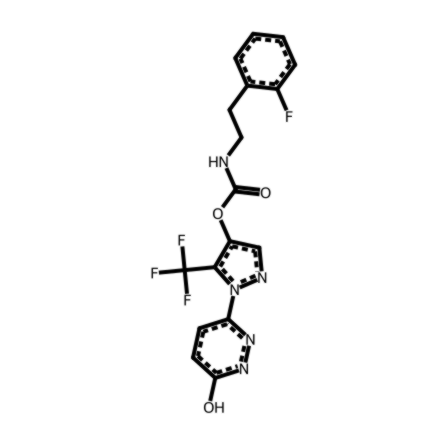 O=C(NCCc1ccccc1F)Oc1cnn(-c2ccc(O)nn2)c1C(F)(F)F